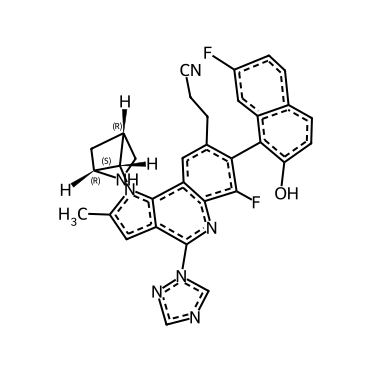 Cc1cc2c(-n3cncn3)nc3c(F)c(-c4c(O)ccc5ccc(F)cc45)c(CCC#N)cc3c2n1[C@H]1[C@H]2CN[C@@H]1C2